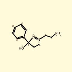 CCC(O)(N=NCCN)c1ccccc1